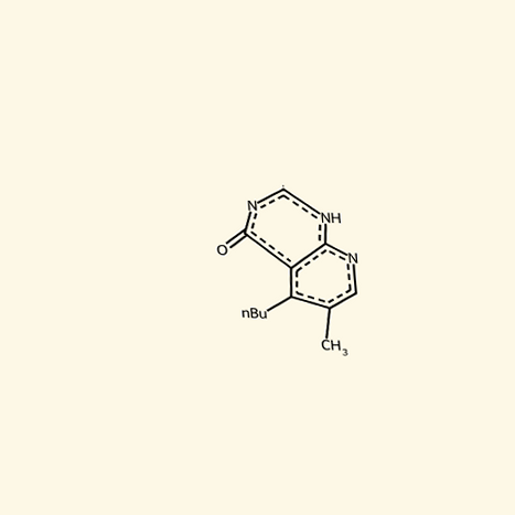 CCCCc1c(C)cnc2[nH][c]nc(=O)c12